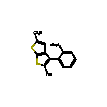 CCCCCCCc1ccccc1-c1c(CCCC)sc2sc(C(=O)O)cc12